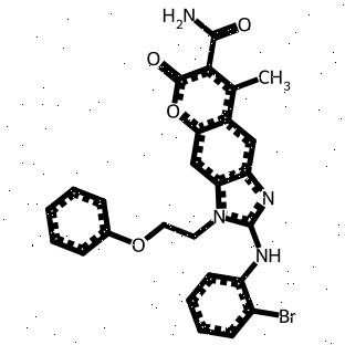 Cc1c(C(N)=O)c(=O)oc2cc3c(cc12)nc(Nc1ccccc1Br)n3CCOc1ccccc1